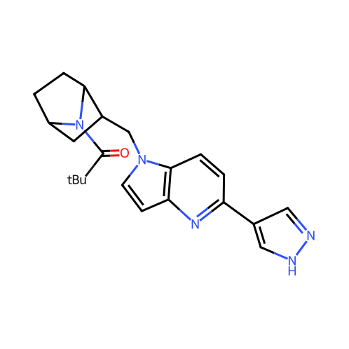 CC(C)(C)C(=O)N1C2CCC1C(Cn1ccc3nc(-c4cn[nH]c4)ccc31)C2